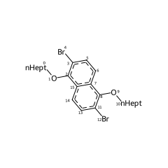 CCCCCCCOc1c(Br)ccc2c(OCCCCCCC)c(Br)ccc12